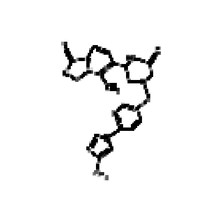 Cc1cn(-c2ccc(CN3CC(=O)NC(c4ccc5c(c4C)COC5=O)C3)cn2)cn1